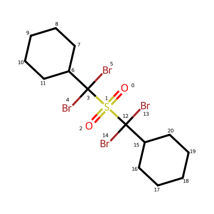 O=S(=O)(C(Br)(Br)C1CCCCC1)C(Br)(Br)C1CCCCC1